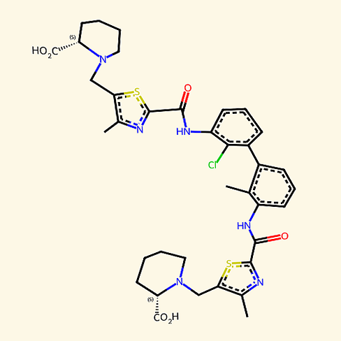 Cc1nc(C(=O)Nc2cccc(-c3cccc(NC(=O)c4nc(C)c(CN5CCCC[C@H]5C(=O)O)s4)c3Cl)c2C)sc1CN1CCCC[C@H]1C(=O)O